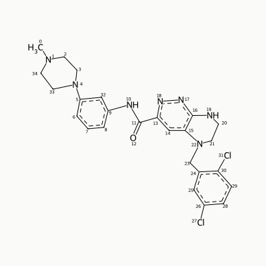 CN1CCN(c2cccc(NC(=O)c3cc4c(nn3)NCCN4Cc3cc(Cl)ccc3Cl)c2)CC1